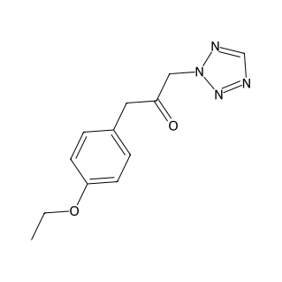 CCOc1ccc(CC(=O)Cn2ncnn2)cc1